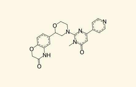 Cn1c(N2CCOC(c3ccc4c(c3)NC(=O)CO4)C2)nc(-c2ccncc2)cc1=O